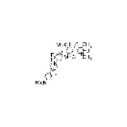 CNc1ccc(N2CCN(C3CCN(Cc4c(OC)cc(-c5cn(C)c(=O)c(C)c5C)cc4OC)CC3(F)F)CC2)c(F)c1